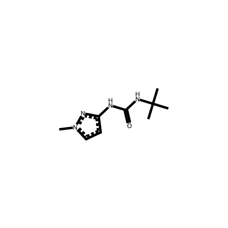 Cn1ccc(NC(=O)NC(C)(C)C)n1